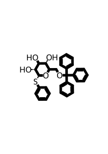 OC1[C@H](O)C(COC(c2ccccc2)(c2ccccc2)c2ccccc2)O[C@H](Sc2ccccc2)[C@@H]1O